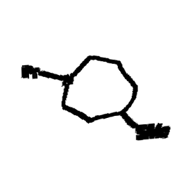 CSC1CCCN(C(C)C)CC1